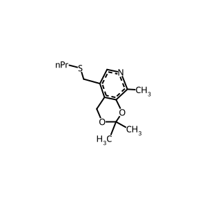 CCCSCc1cnc(C)c2c1COC(C)(C)O2